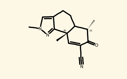 C[C@@H]1C(=O)C(C#N)=C[C@]2(C)c3nn(C)cc3CCC12